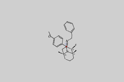 COc1ccc(CN2[C@]3(C)CCC[C@@]2(C)[C@H](F)/C(=N\Cc2ccccc2)C3)cc1